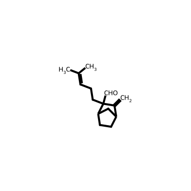 C=C1C2CCC(C2)C1(C=O)CCC=C(C)C